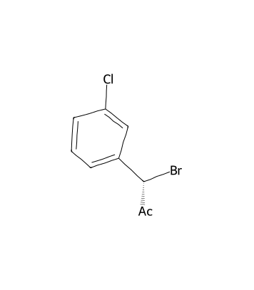 CC(=O)[C@@H](Br)c1cccc(Cl)c1